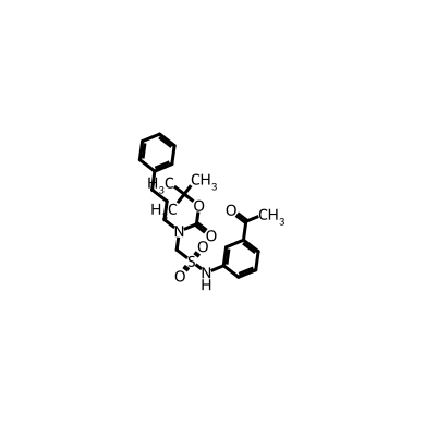 CC(=O)c1cccc(NS(=O)(=O)CN(CCCc2ccccc2)C(=O)OC(C)(C)C)c1